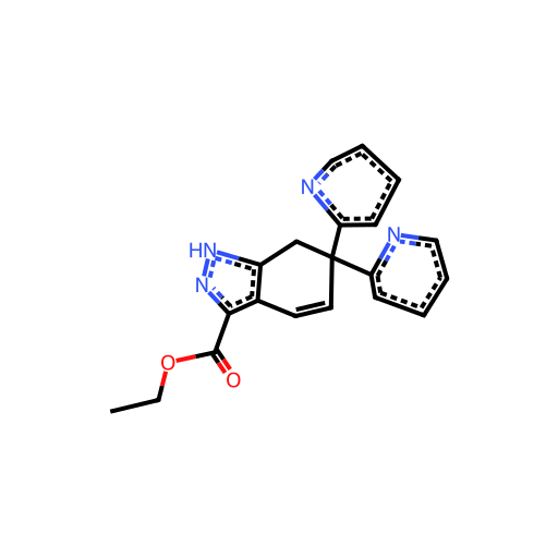 CCOC(=O)c1n[nH]c2c1C=CC(c1ccccn1)(c1ccccn1)C2